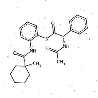 CC(=O)N[C@H](C(=O)Sc1ccccc1NC(=O)C1(C)CCCCC1)c1ccccc1